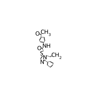 C=CCn1c(SCC(=O)Nc2ccc(C(C)=O)cc2)cnc1-c1ccccc1